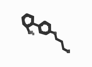 Cc1ccccc1-c1ccc(OCCCCl)cc1